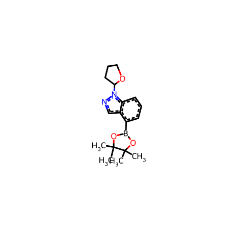 CC1(C)OB(c2cccc3c2cnn3C2CCCO2)OC1(C)C